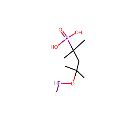 CC(C)(CC(C)(C)P(=O)(O)O)OPI